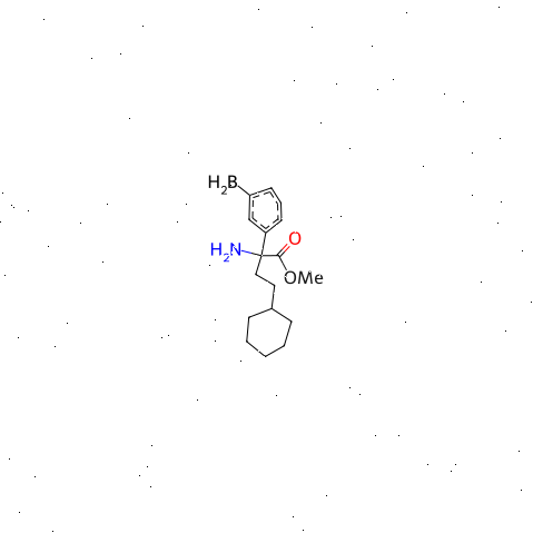 Bc1cccc(C(N)(CCC2CCCCC2)C(=O)OC)c1